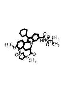 COc1ccc2c(c1)C=C(C(=O)N(C)C1CCS(=O)(=O)C1)Cn1c-2c(C2CCCCC2)c2ccc(C(=O)NS(=O)(=O)N(C)C)cc21